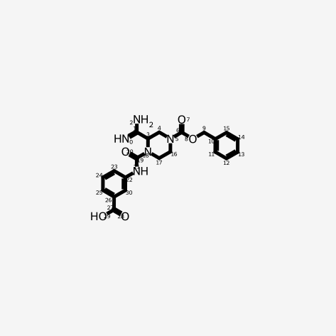 N=C(N)C1CN(C(=O)OCc2ccccc2)CCN1C(=O)Nc1cccc(C(=O)O)c1